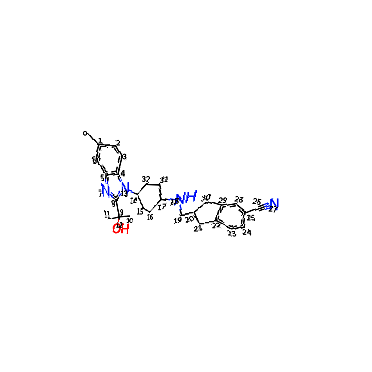 Cc1ccc2c(c1)nc(C(C)(C)O)n2C1CCC(NCC2Cc3ccc(C#N)cc3C2)CC1